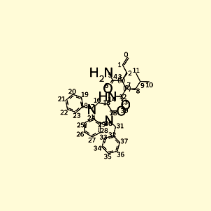 C=CC[C@H](C(N)=O)[C@@H](CC(C)C)C(=O)NC1CN(c2ccccc2)c2ccccc2N(Cc2ccccc2)C1=O